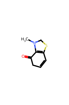 CN1[C]SC2=C1C(=O)CC=C2